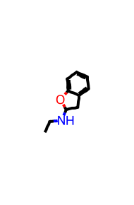 CCNC1Cc2ccccc2O1